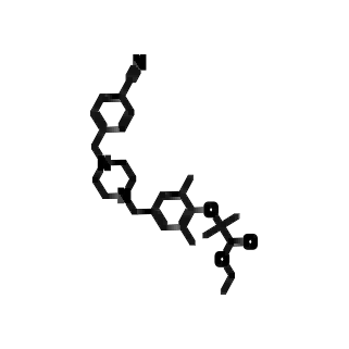 CCOC(=O)C(C)(C)Oc1c(C)cc(CN2CCN(Cc3ccc(C#N)cc3)CC2)cc1C